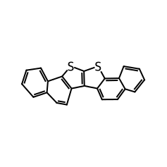 c1ccc2c(c1)ccc1c2sc2sc3c4ccccc4ccc3c21